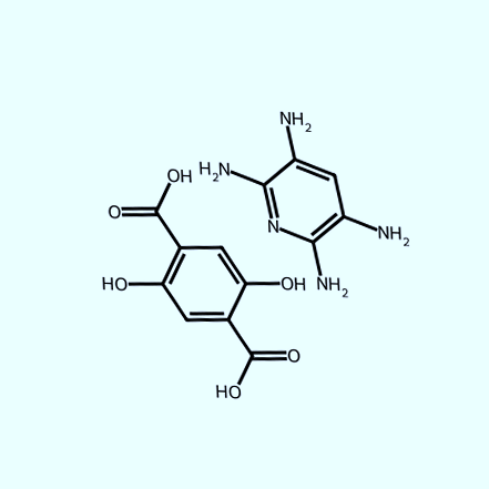 Nc1cc(N)c(N)nc1N.O=C(O)c1cc(O)c(C(=O)O)cc1O